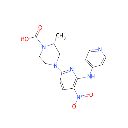 C[C@@H]1CN(c2ccc([N+](=O)[O-])c(Nc3ccncc3)n2)CCN1C(=O)O